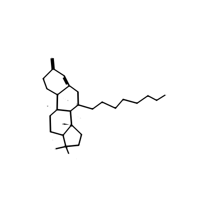 CC1(O)CC[C@H]2[C@@H]3C(CCCCCCCBr)CC4=CC(=O)CC[C@]4(C)[C@@H]3CC[C@@]21C